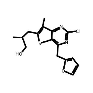 Cc1c(C[C@H](C)CO)sc2c([CH]c3ccco3)nc(Cl)nc12